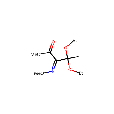 CCOC(C)(OCC)C(=NOC)C(=O)OC